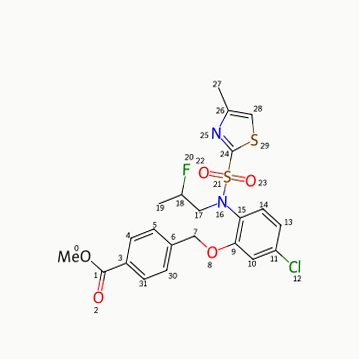 COC(=O)c1ccc(COc2cc(Cl)ccc2N(CC(C)F)S(=O)(=O)c2nc(C)cs2)cc1